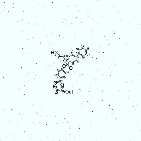 C=CCOC1(C(=O)Oc2ccc(C(=O)OC(CCCCCCCC)C(F)F)cc2)C=CC(c2ccccc2)=CC1